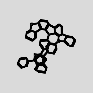 c1ccc(-c2ccc(-n3c4ccccc4c4ccc5c6ccc7oc8ccccc8c7c6n(-c6ccc(-c7nc(-c8ccccc8)c8ccccc8n7)cc6)c5c43)cc2)cc1